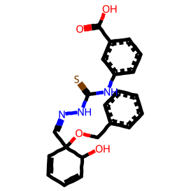 O=C(O)c1cccc(NC(=S)N/N=C\C2(OCc3ccccc3)C=CC=CC2O)c1